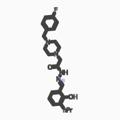 CCCc1cccc(/C=N/NC(=O)CN2CCN(Cc3ccc(F)cc3)CC2)c1O